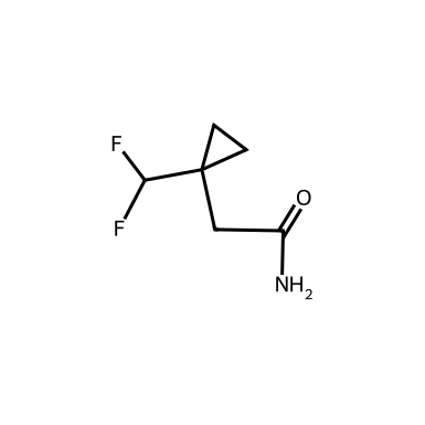 NC(=O)CC1(C(F)F)CC1